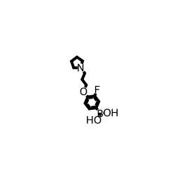 OB(O)c1ccc(OCCCN2CCCC2)c(F)c1